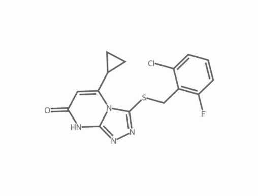 O=c1cc(C2CC2)n2c(SCc3c(F)cccc3Cl)nnc2[nH]1